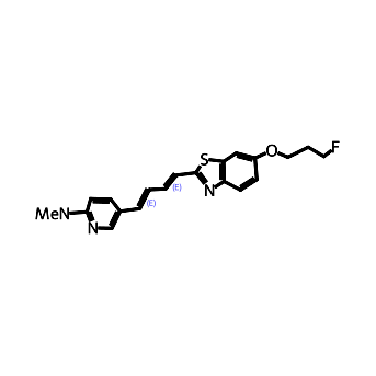 CNc1ccc(/C=C/C=C/c2nc3ccc(OCCCF)cc3s2)cn1